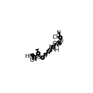 CC(C)c1ccc(Oc2cccc(N3CC(N4CCN(c5ncc(C(=O)NC6C(C)(C)C(Oc7ccc(C#N)c(Cl)c7)C6(C)C)cn5)CC4)C3)c2)c(-c2cn(C)c(=O)c3[nH]ccc23)c1